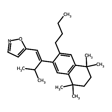 CCCCc1cc2c(cc1C(=Cc1ccno1)C(C)C)C(C)(C)CCC2(C)C